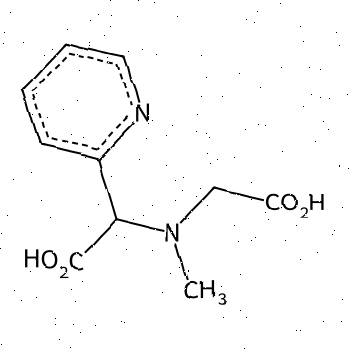 CN(CC(=O)O)C(C(=O)O)c1ccccn1